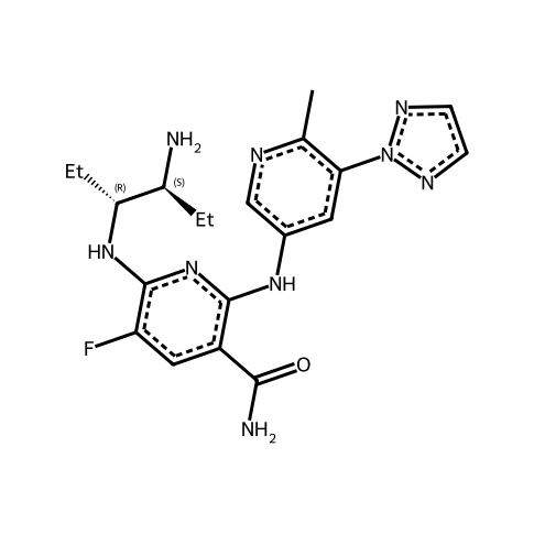 CC[C@H](N)[C@@H](CC)Nc1nc(Nc2cnc(C)c(-n3nccn3)c2)c(C(N)=O)cc1F